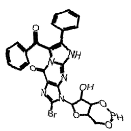 O=C(c1ccccc1)c1c(-c2ccccc2)[nH]c2nc3c(nc(Br)n3C3OC4COPOC4C3O)c(=O)n12